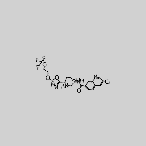 O=C(N[Si@H]1CC[C@H](c2nnc(OCCOC(F)(F)F)o2)NC1)c1ccc2cc(Cl)cnc2c1